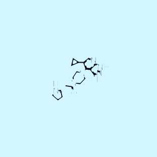 O=C(C[C@@H]1CCCN1)N1CCN(c2c(C3CC3)cnc3[nH]nc(C(F)(F)F)c23)CC1